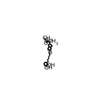 CCOC(=O)[C@@H](C)c1ccc2cc(OCCCCCCc3cccc(O)c3O)ccc2c1